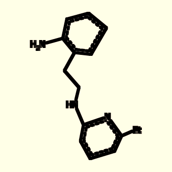 CCc1cccc(NCCc2ccccc2N)n1